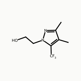 Cc1nn(CCO)c(C(F)(F)F)c1C